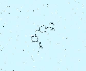 COc1ccnc(OC2CCN(C(C)C)CC2)c1